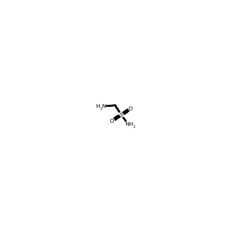 N[CH]S(N)(=O)=O